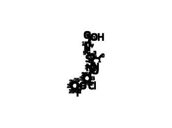 CCc1cc(CN2CC(C(=O)O)C2)sc1-c1noc(-c2ccc(Oc3ccccc3F)c(Cl)c2)n1